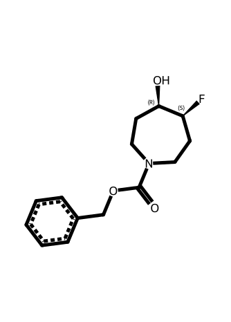 O=C(OCc1ccccc1)N1CC[C@@H](O)[C@@H](F)CC1